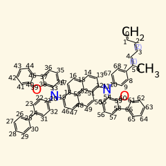 C=C/C=C\C=C(/C)c1ccc(N(c2ccc3ccc4c(N(c5ccc(-c6ccccc6)cc5)c5cccc6c5oc5ccccc56)ccc5ccc2c3c54)c2cccc3c2oc2ccccc23)cc1